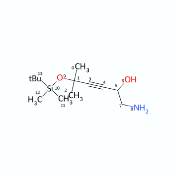 CC(C)(C#CC(O)CN)O[Si](C)(C)C(C)(C)C